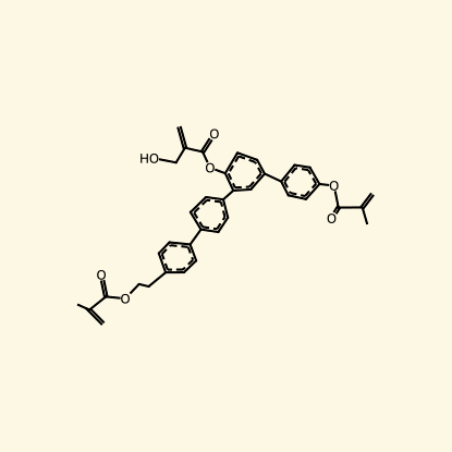 C=C(C)C(=O)OCCc1ccc(-c2ccc(-c3cc(-c4ccc(OC(=O)C(=C)C)cc4)ccc3OC(=O)C(=C)CO)cc2)cc1